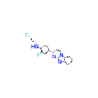 FCCCNc1ccc(-c2ccn3c(n2)nc2ccccc23)cc1F